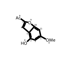 COc1cc(O)c2cc(C(C)=O)oc2c1